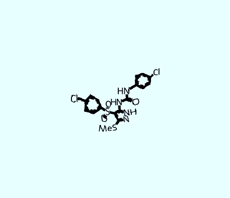 CSc1n[nH]c(NC(=O)Nc2ccc(Cl)cc2)c1S(=O)(=O)c1ccc(Cl)cc1